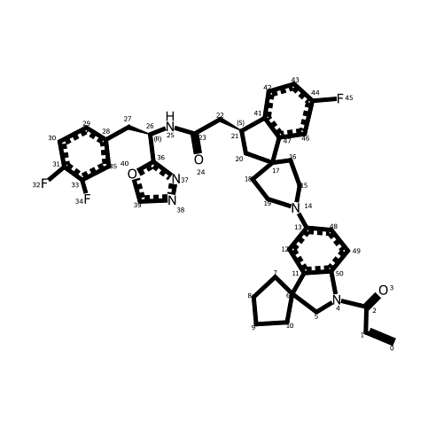 C=CC(=O)N1CC2(CCCC2)c2cc(N3CCC4(CC3)C[C@@H](CC(=O)N[C@H](Cc3ccc(F)c(F)c3)c3nnco3)c3ccc(F)cc34)ccc21